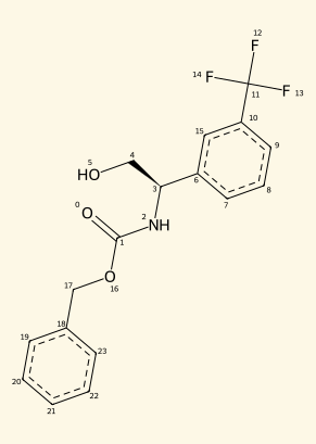 O=C(N[C@@H](CO)c1cccc(C(F)(F)F)c1)OCc1ccccc1